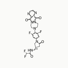 O=C(NC[C@@H]1CC(=O)N(c2cc(F)c(N3CCn4c(=O)c5nccnc5c(=O)n4CC3)c(F)c2)C1)C(F)F